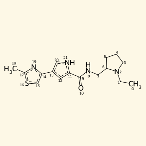 CCN1CCCC1CNC(=O)c1cc(-c2csc(C)n2)c[nH]1